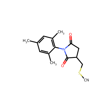 Cc1cc(C)c(N2C(=O)CC(CSC#N)C2=O)c(C)c1